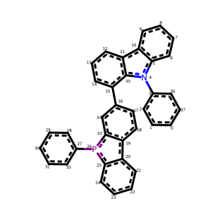 c1ccc(-n2c3ccccc3c3cccc(-c4ccc5c6ccccc6p(-c6ccccc6)c5c4)c32)cc1